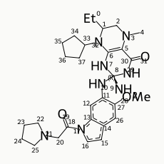 CCC1CN(C)C2=C(N[C@@](N)(Nc3cc4c(ccn4C(=O)CN4CCCC4)cc3OC)NC2=O)N1C1CCCC1